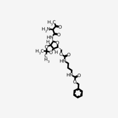 CC(=O)C(N)C(=O)N[C@@H]1O[C@H](COC(=O)NCCCNC(=O)OCc2ccccc2)[C@H]2OC(C)(C)O[C@H]21